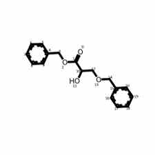 O=C(OCc1ccccc1)C(O)COCc1ccccc1